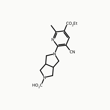 CCOC(=O)c1cc(C#N)c(N2CC3CN(C(=O)O)CC3C2)nc1C